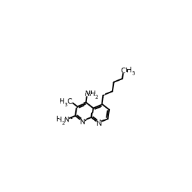 CCCCCc1ccnc2nc(N)c(C)c(N)c12